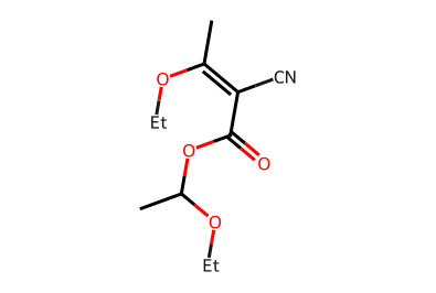 CCOC(C)=C(C#N)C(=O)OC(C)OCC